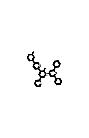 CC1C=C(c2ccc(C3=CC(c4ccccn4)=C[C@H](c4cc(-c5ccccc5)nc(-c5ccccc5)c4)C3C)nc2)C=CC1